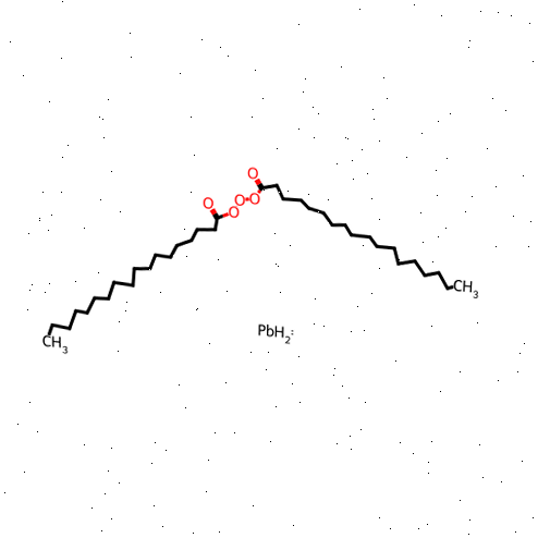 CCCCCCCCCCCCCCCCCC(=O)OOOC(=O)CCCCCCCCCCCCCCCCC.[PbH2]